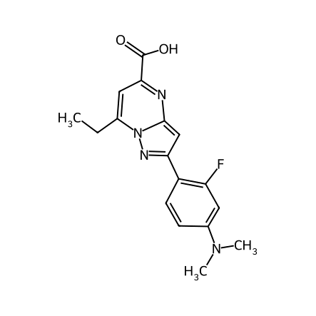 CCc1cc(C(=O)O)nc2cc(-c3ccc(N(C)C)cc3F)nn12